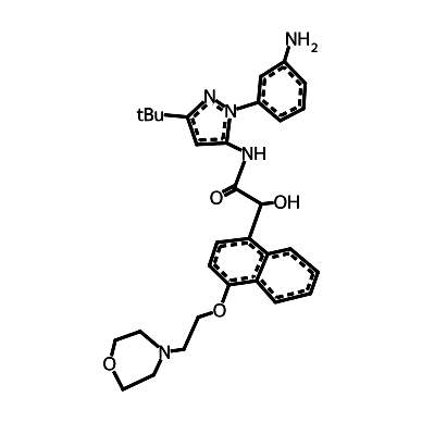 CC(C)(C)c1cc(NC(=O)C(O)c2ccc(OCCN3CCOCC3)c3ccccc23)n(-c2cccc(N)c2)n1